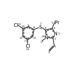 C=Cc1nc(C(C)C)c(Sc2cc(Cl)cc(Cl)c2)n1C